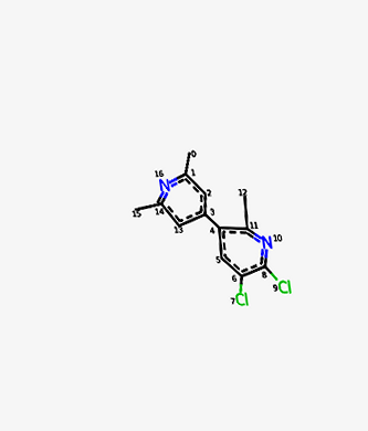 Cc1cc(-c2cc(Cl)c(Cl)nc2C)cc(C)n1